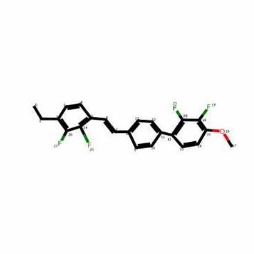 CCc1ccc(/C=C/c2ccc(-c3ccc(OC)c(F)c3F)cc2)c(F)c1F